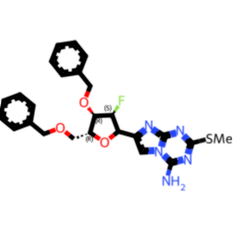 CSc1nc(N)n2cc(C3O[C@H](COCc4ccccc4)[C@@H](OCc4ccccc4)[C@H]3F)nc2n1